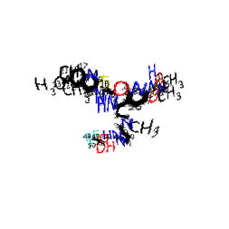 CN(CC[C@@H](NC(=O)c1nc2cc3c(nc2s1)CC[C@H](C(C)(C)C)C3)c1ccc(NS(=O)(=O)N(C)C)nc1)Cc1ccn[nH]1.O=C(O)C(F)(F)F